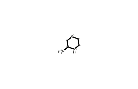 NC1CSCCN1